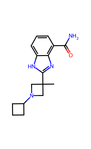 CC1(c2nc3c(C(N)=O)cccc3[nH]2)CN(C2CCC2)C1